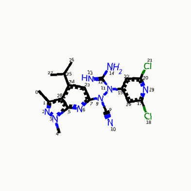 Cc1nn(C)c2nc(N(C#N)N(C(=N)N)c3cc(Cl)nc(Cl)c3)cc(C(C)C)c12